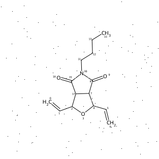 C=CC1OC(C=C)C2C(=O)N(CCCC)C(=O)C12